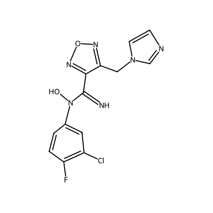 N=C(c1nonc1Cn1ccnc1)N(O)c1ccc(F)c(Cl)c1